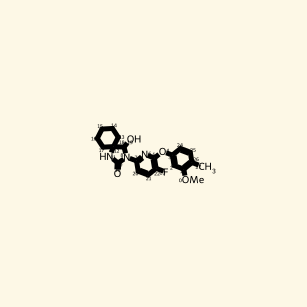 COc1cc(Oc2nc(N3C(=O)NC4(CCCCC4)C3O)ccc2F)ccc1C